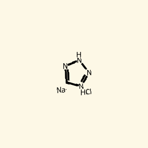 Cl.[Na].c1nn[nH]n1